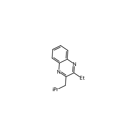 CCc1nc2ccccc2nc1CC(C)C